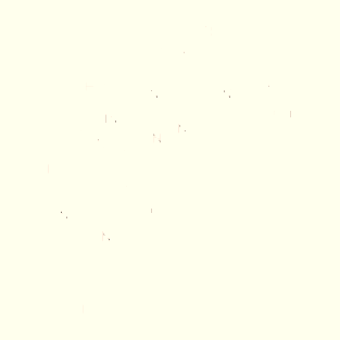 COC1=NC(c2nnc(NS(=O)(=O)[C@@H](C)[C@H](OC)c3ncc(OC)cn3)n2-c2c(O)cccc2OC)=C=C=C1